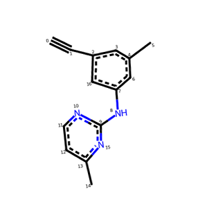 C#Cc1cc(C)cc(Nc2nccc(C)n2)c1